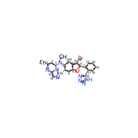 CCc1cc(N(C)c2ccc3oc(-c4ccccc4-c4nnn[nH]4)c(Br)c3c2)n2cncc2n1